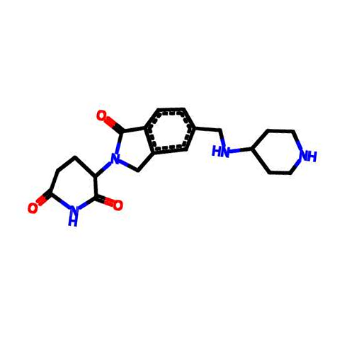 O=C1CCC(N2Cc3cc(CNC4CCNCC4)ccc3C2=O)C(=O)N1